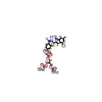 Cc1cc(Cl)c2cc(C(=O)N[C@H](C)c3ccc(S(=O)(=O)CC(=O)OCC(COC(=O)C(C)(C)C)COC(=O)C(C)(C)C)cc3)n(C)c2c1